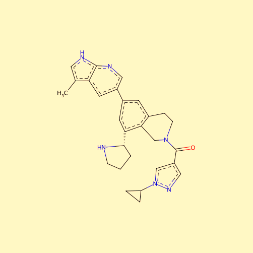 Cc1c[nH]c2ncc(-c3cc4c(c([C@@H]5CCCN5)c3)CN(C(=O)c3cnn(C5CC5)c3)CC4)cc12